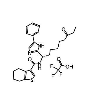 CCC(=O)CCCCC[C@H](NC(=O)c1csc2c1CCCC2)c1ncc(-c2ccccc2)[nH]1.O=C(O)C(F)(F)F